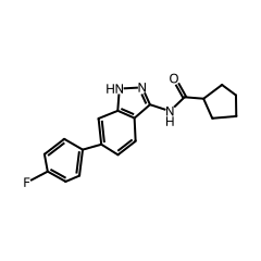 O=C(Nc1n[nH]c2cc(-c3ccc(F)cc3)ccc12)C1CCCC1